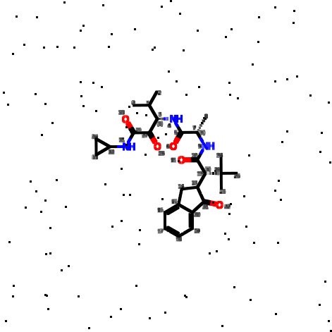 CC(C)[C@H](NC(=O)[C@H](C)NC(=O)[C@@H](C1Cc2ccccc2C1=O)C(C)(C)C)C(=O)C(=O)NC1CC1